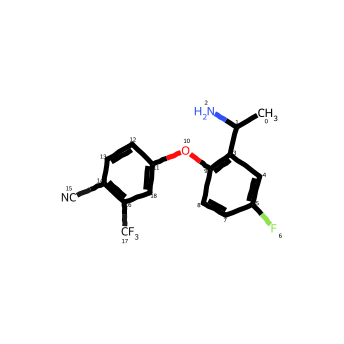 CC(N)c1cc(F)ccc1Oc1ccc(C#N)c(C(F)(F)F)c1